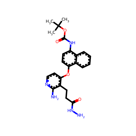 CC(C)(C)OC(=O)Nc1ccc(Oc2ccnc(N)c2CCC(=O)NN)c2ccccc12